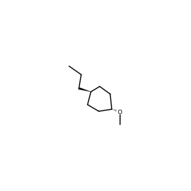 CCC[C@H]1CC[C@H](OC)CC1